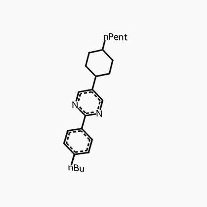 CCCCCC1CCC(c2cnc(-c3ccc(CCCC)cc3)nc2)CC1